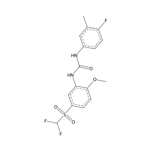 COc1ccc(S(=O)(=O)C(F)F)cc1NC(=O)Nc1ccc(F)c(C)c1